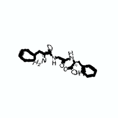 N[C@@H](Cc1ccccc1)C(=O)NCC(=O)N[C@@H](Cc1ccccc1)C(=O)O